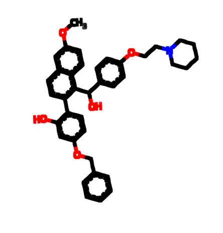 COc1ccc2c(C(O)c3ccc(OCCN4CCCCC4)cc3)c(-c3ccc(OCc4ccccc4)cc3O)ccc2c1